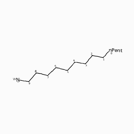 CCCCCCCCCCCCCC[N]